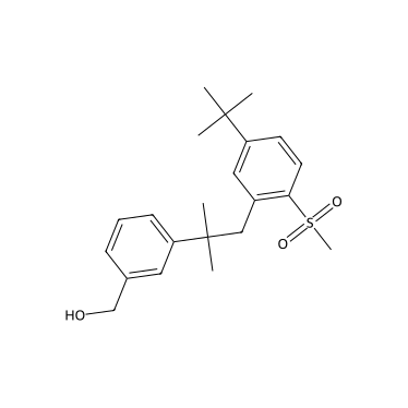 CC(C)(C)c1ccc(S(C)(=O)=O)c(CC(C)(C)c2cccc(CO)c2)c1